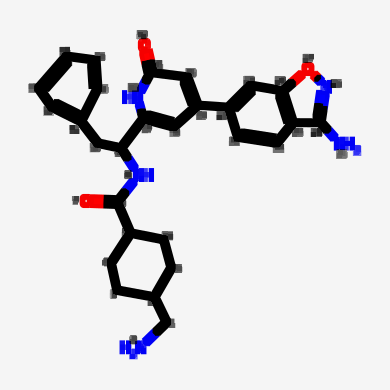 NCC1CCC(C(=O)NC(Cc2ccccc2)c2cc(-c3ccc4c(N)noc4c3)cc(=O)[nH]2)CC1